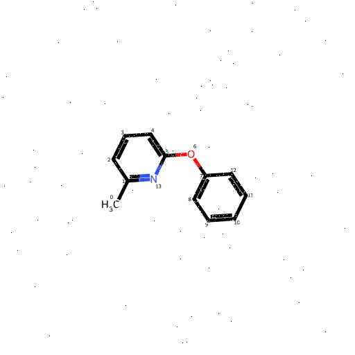 Cc1[c]ccc(Oc2ccccc2)n1